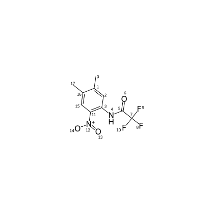 Cc1cc(NC(=O)C(F)(F)F)c([N+](=O)[O-])cc1C